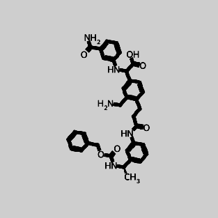 C[C@@H](NC(=O)OCc1ccccc1)c1cccc(NC(=O)CCc2ccc(C(Nc3cccc(C(N)=O)c3)C(=O)O)cc2CN)c1